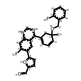 O=Cc1ccc(-c2cc3c(C4=CC=CC(I)(OCc5ccccc5F)C4)ncnc3cc2F)o1